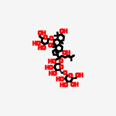 CC(C)=CCCC(C)(O[C@@H]1O[C@H](CO[C@@H]2O[C@H](CO)[C@@H](O)[C@H](O)[C@H]2O)[C@@H](O)[C@H](O)[C@H]1O)C1CCC2(C)C1C(O)CC1C3(C)CCC(O)C(C)(C)C3C(O[C@@H]3O[C@H](CO)[C@@H](O)[C@H](O)[C@H]3O)CC12C